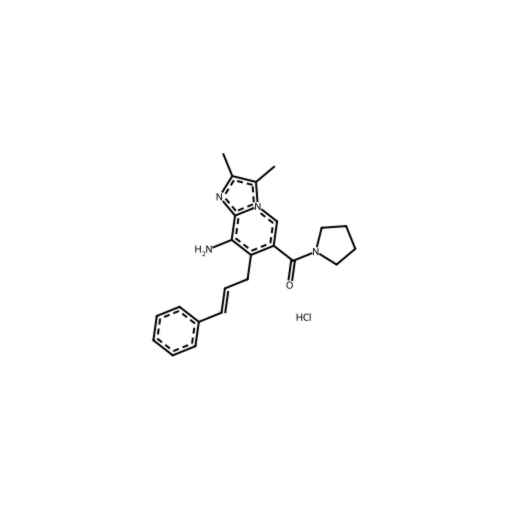 Cc1nc2c(N)c(CC=Cc3ccccc3)c(C(=O)N3CCCC3)cn2c1C.Cl